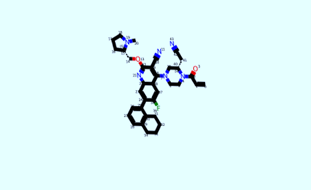 C=CC(=O)N1CCN(C2=C(C#N)C(OC[C@@H]3CCCN3C)=NC3C=C(c4cccc5c4CCCC5)C(F)=CC23)C[C@@H]1CC#N